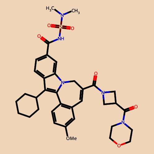 COc1ccc2c(c1)C=C(C(=O)N1CC(C(=O)N3CCOCC3)C1)Cn1c-2c(C2CCCCC2)c2ccc(C(=O)NS(=O)(=O)N(C)C)cc21